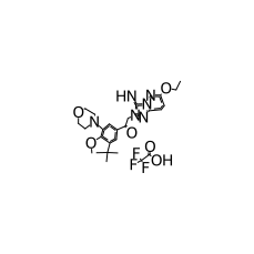 CCOc1ccc2nn(CC(=O)c3cc(N4CCOCC4)c(OC)c(C(C)(C)C)c3)c(=N)n2n1.O=C(O)C(F)(F)F